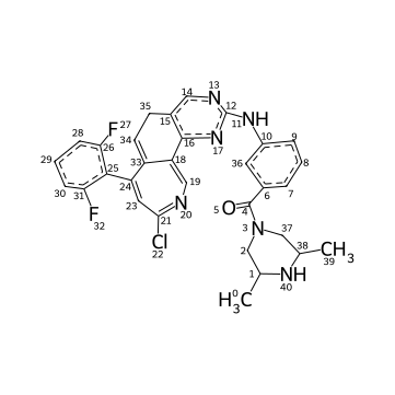 CC1CN(C(=O)c2cccc(Nc3ncc4c(n3)C3=CN=C(Cl)C=C(c5c(F)cccc5F)C3=CC4)c2)CC(C)N1